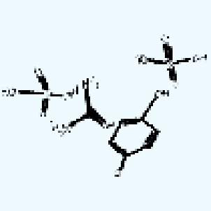 N=C(N)N.O=S(=O)(O)O.O=S(=O)(O)O.Oc1ccc(Cl)cc1